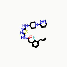 C=CCc1cccc(CC(=O)Nc2nnc(NC3CCN(c4cccnn4)CC3)s2)c1F